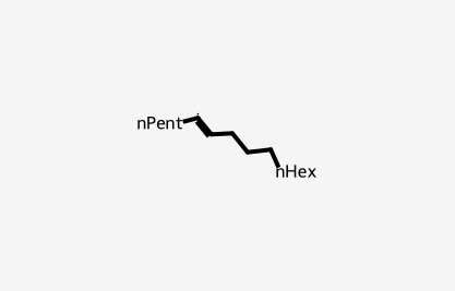 CCCCC[C]=CCCCCCCCCC